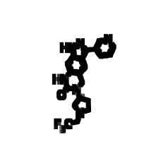 O=C1Nc2cc3[nH]nc(-c4cccnc4)c3cc2CN1[C@H]1CCN(CC(F)(F)F)C1